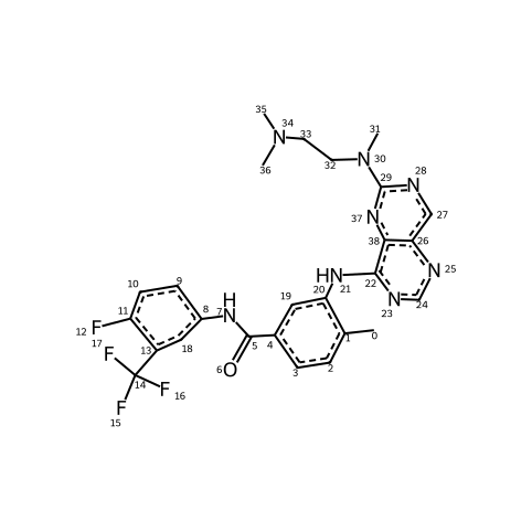 Cc1ccc(C(=O)Nc2ccc(F)c(C(F)(F)F)c2)cc1Nc1ncnc2cnc(N(C)CCN(C)C)nc12